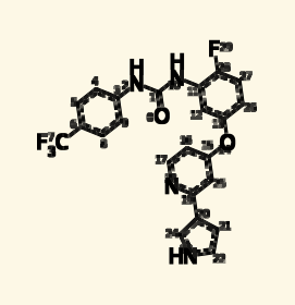 O=C(Nc1ccc(C(F)(F)F)cc1)Nc1cc(Oc2ccnc(-c3cc[nH]c3)c2)ccc1F